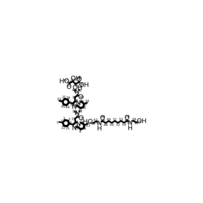 Cc1ccc(-c2nc3ccc(C)cn3c2CC(=O)N(C)C)cc1.Cc1ccc(-c2nc3ccc(C)cn3c2CC(=O)N(C)C)cc1.O=C(CCCCCCCC(=O)NCCO)NCCO.O=C(O)C(O)C(O)C(=O)O